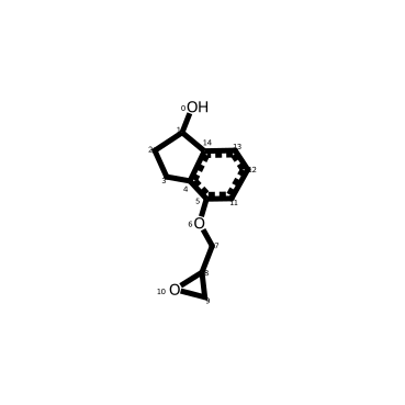 OC1CCc2c(OCC3CO3)cccc21